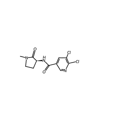 CN1CC[C@H](NC(=O)c2cnc(Cl)c(Cl)c2)C1=O